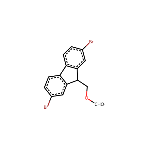 O=[C]OCC1c2cc(Br)ccc2-c2ccc(Br)cc21